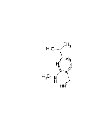 CNc1nc(C(C)C)ncc1C=N